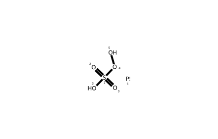 O=S(=O)(O)OO.[P]